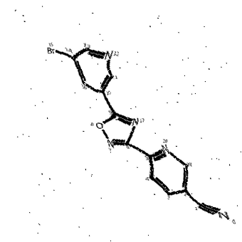 N#Cc1ccc(-c2noc(-c3cncc(Br)c3)n2)nc1